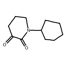 O=C1CCCN(C2CCCCC2)C1=O